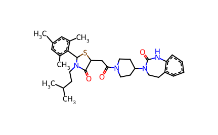 Cc1cc(C)c(C2SC(CC(=O)N3CCC(N4CCc5ccccc5NC4=O)CC3)C(=O)N2CCC(C)C)c(C)c1